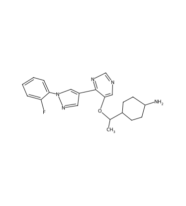 CC(Oc1cncnc1-c1cnn(-c2ccccc2F)c1)C1CCC(N)CC1